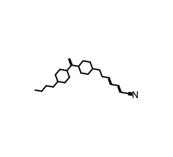 C=C(C1CCC(CCC=CC=CC#N)CC1)C1CCC(CCCC)CC1